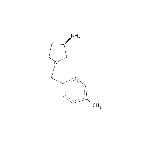 Cc1ccc(CN2CC[C@@H](N)C2)cc1